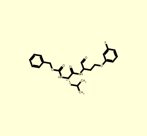 CC(C)C[C@H](NC(=O)OCc1ccccc1)C(=O)NC(C=O)CCOc1cccc(F)c1